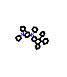 c1ccc(-c2c(-c3ccccc3)c3cc(N(c4ccccc4)c4ccc5c(c4)c4ccccc4n5-c4ccccc4)ccc3c3ccccc23)cc1